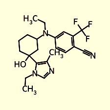 CCN(c1ccc(C#N)c(C(F)(F)F)c1)C1CCCC(O)(c2c(C)ncn2CC)C1